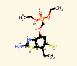 CCOP(=O)(COc1cc(S)c(CC)c2sc(N)nc12)OCC